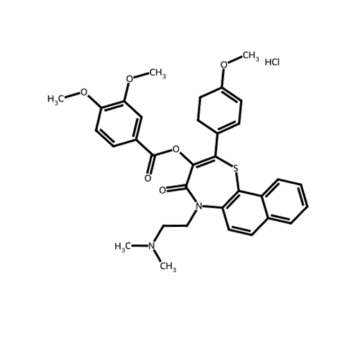 COC1=CC=C(C2=C(OC(=O)c3ccc(OC)c(OC)c3)C(=O)N(CCN(C)C)c3ccc4ccccc4c3S2)CC1.Cl